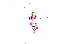 O=C(OCCNS(=O)(=O)C(F)(F)F)C1C2CC3C(OC(=O)C31)C2O